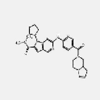 CN(C)C(=O)c1cc2cnc(Nc3ccc(C(=O)N4CCN5C=CCC5C4)cn3)nc2n1C1CCCC1